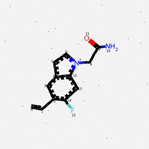 C=Cc1cc2ccn(CC(N)=O)c2cc1F